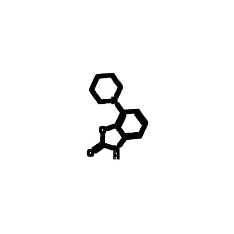 O=c1[nH]c2cccc(N3CCCCC3)c2o1